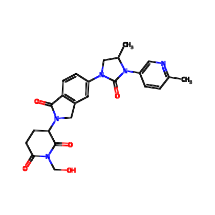 Cc1ccc(N2C(=O)N(c3ccc4c(c3)CN(C3CCC(=O)N(CO)C3=O)C4=O)CC2C)cn1